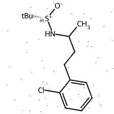 CC(CCc1ccccc1Cl)N[S@@+]([O-])C(C)(C)C